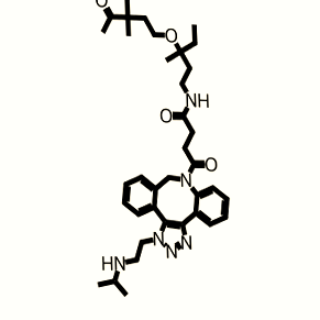 CCC(C)(CCNC(=O)CCC(=O)N1Cc2ccccc2-c2c(nnn2CCNC(C)C)-c2ccccc21)OCCC(C)(C)C(C)=O